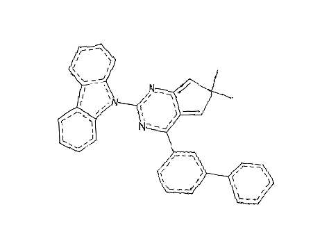 CC1(C)C=c2nc(-n3c4ccccc4c4ccccc43)nc(-c3cccc(-c4ccccc4)c3)c2=C1